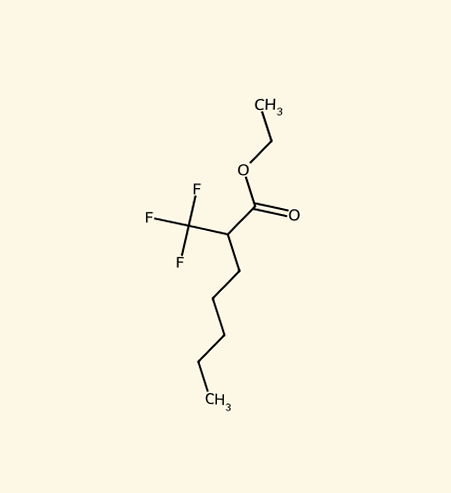 CCCCCC(C(=O)OCC)C(F)(F)F